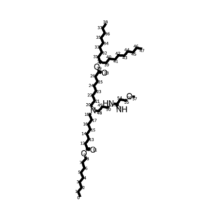 CCCCCCCCCOC(=O)CCCCCCCN(CCCCCCCC(=O)OC(CCCCCCCC)CCCCCCCCC)CCCNC(=N)CCOC